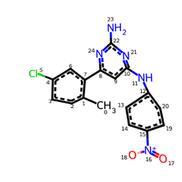 Cc1ccc(Cl)cc1-c1cc(Nc2ccc([N+](=O)[O-])cc2)nc(N)n1